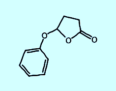 O=C1CCC(Oc2ccccc2)O1